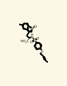 CC#CCOc1ccc(S(=O)(=O)N[C@@H](Cc2cn(CC)c3ccc(C)cc23)C(=O)O)cc1